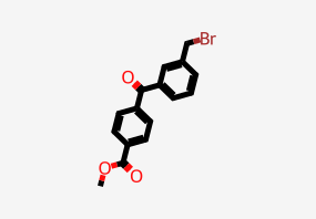 COC(=O)c1ccc(C(=O)c2cccc(CBr)c2)cc1